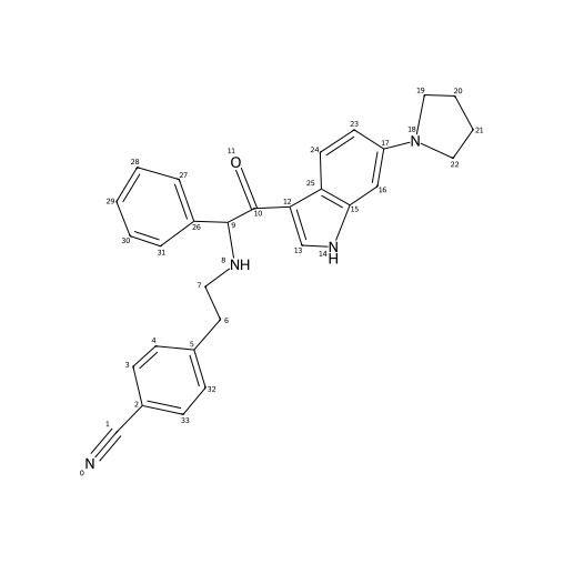 N#Cc1ccc(CCNC(C(=O)c2c[nH]c3cc(N4CCCC4)ccc23)c2ccccc2)cc1